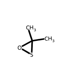 CC1(C)OS1